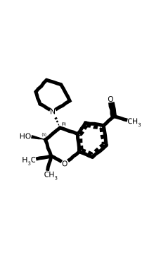 CC(=O)c1ccc2c(c1)[C@@H](N1CCCCC1)[C@H](O)C(C)(C)O2